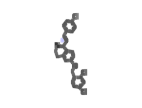 Clc1ccc(/C=C/C2=NCCc3cc(OCc4ccc(Cl)cc4Cl)ccc32)cc1